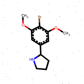 COc1cc(C2CCCN2)cc(OC)c1Br